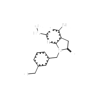 CCCCNc1nc(N)c2c(n1)N(Cc1cccc(CCl)c1)C(=O)C2